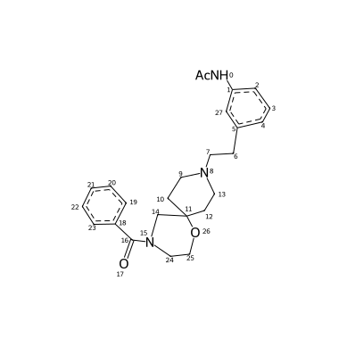 CC(=O)Nc1cccc(CCN2CCC3(CC2)CN(C(=O)c2ccccc2)CCO3)c1